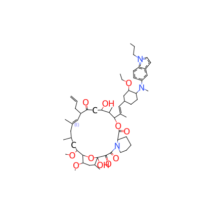 C=CCC1/C=C(\C)CC(C)CC(OC)C2OC(O)(C(=O)C(=O)N3CCCCC3C(=O)OC(C(C)=CC3CCC(N(C)c4ccc5c(ccn5CCC)c4)C(OCC)C3)C(C)C(O)CC1=O)C(C)CC2OC